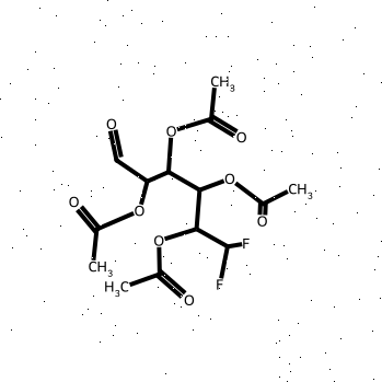 CC(=O)OC(C=O)C(OC(C)=O)C(OC(C)=O)C(OC(C)=O)C(F)F